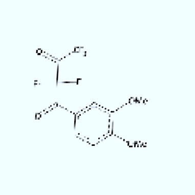 COc1ccc(C(=O)C(F)(F)C(=O)C(F)(F)F)cc1OC